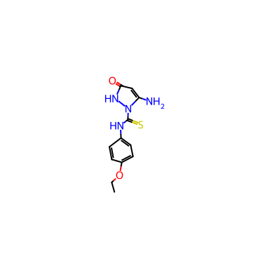 CCOc1ccc(NC(=S)n2[nH]c(=O)cc2N)cc1